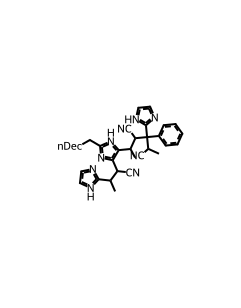 CCCCCCCCCCCc1nc(C(C#N)C(C)c2ncc[nH]2)c(C(C)C(C#N)C(c2ccccc2)(c2ncc[nH]2)C(C)C#N)[nH]1